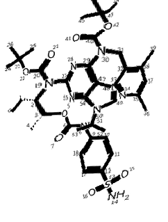 CC[C@@H]([C@@H](C)OC(=O)Nc1ccc(S(N)(=O)=O)cc1)N(C(=O)OC(C)(C)C)c1nc(N(Cc2cnc(C)cc2C)C(=O)OC(C)(C)C)c2ncn(C(C)C)c2n1